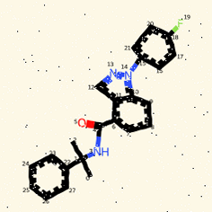 CC(C)(NC(=O)c1cccc2c1cnn2-c1ccc(F)cc1)c1ccccc1